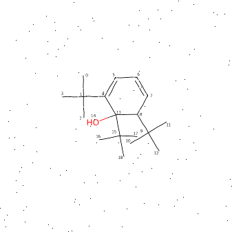 CC(C)(C)C1=CC=CC(C(C)(C)C)C1(O)C(C)(C)C